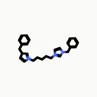 C1=C[N+](CCCCC[n+]2ccn(Cc3ccccc3)c2)=CC1Cc1ccccc1